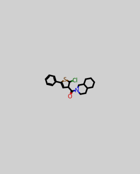 O=C(C1C=C(c2ccccc2)SC1Cl)N1CCC2CCCCC2C1